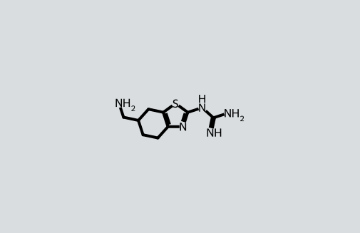 N=C(N)Nc1nc2c(s1)CC(CN)CC2